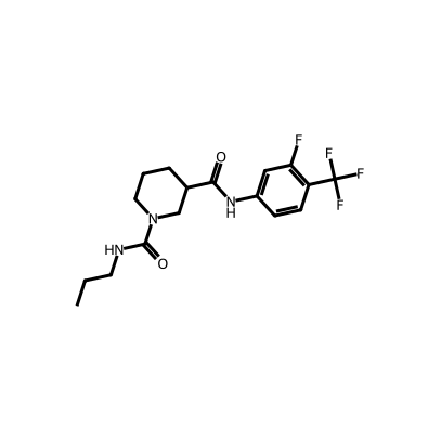 CCCNC(=O)N1CCCC(C(=O)Nc2ccc(C(F)(F)F)c(F)c2)C1